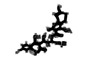 CCOC(=O)C(NC(=O)c1c(O)c2ccc(F)cc2sc1=O)NC(=O)c1c(O)c2ccc(F)cc2sc1=O